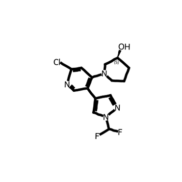 O[C@H]1CCCN(c2cc(Cl)ncc2-c2cnn(C(F)F)c2)C1